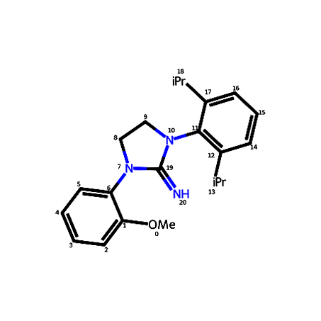 COc1ccccc1N1CCN(c2c(C(C)C)cccc2C(C)C)C1=N